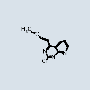 CCOC=Cc1nc(Cl)nc2ncccc12